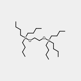 CCCC[Si](CCCC)(CCCC)OCCO[Si](CCCC)(CCCC)CCCC